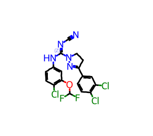 N#C/N=C(/Nc1ccc(Cl)c(OC(F)F)c1)N1CCC(c2ccc(Cl)c(Cl)c2)=N1